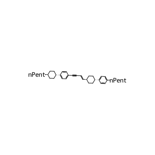 CCCCCc1ccc([C@H]2CC[C@H](C=CC#Cc3ccc([C@H]4CC[C@H](CCCCC)CC4)cc3)CC2)cc1